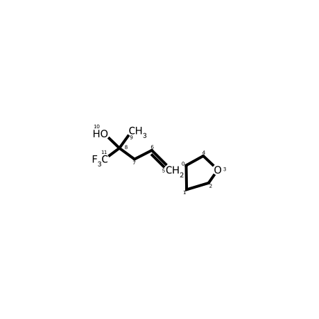 C1CCOC1.C=CCC(C)(O)C(F)(F)F